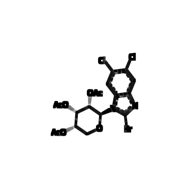 CC(=O)O[C@@H]1[C@H](OC(C)=O)[C@@H](n2c(Br)nc3cc(Cl)c(Cl)cc32)OC[C@@H]1OC(C)=O